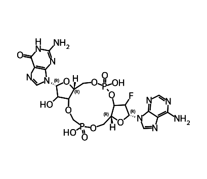 Nc1nc2c(ncn2[C@@H]2O[C@@H]3COP(=O)(O)OC4C(F)[C@H](n5cnc6c(N)ncnc65)O[C@@H]4COP(=O)(O)COC3C2O)c(=O)[nH]1